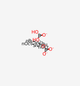 CCCCCCC[CH2][Sn+2][CH2]CCCCCCC.CCC[CH2][Sn+2][CH2]CCC.[O-]B(O)O.[O-]B([O-])[O-]